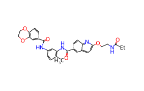 CCC(=O)NCCOc1ccc2cc(C(=O)Nc3cc(NC(=O)c4ccc5c(c4)OCCO5)ccc3C)ccc2n1